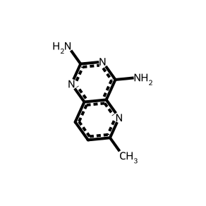 Cc1ccc2nc(N)nc(N)c2n1